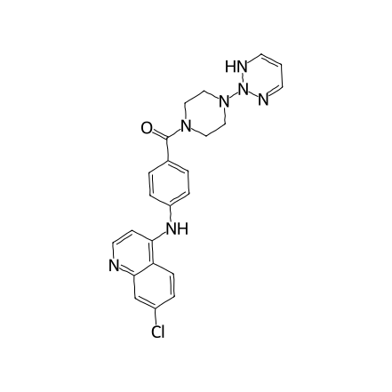 O=C(c1ccc(Nc2ccnc3cc(Cl)ccc23)cc1)N1CCN(N2N=CC=CN2)CC1